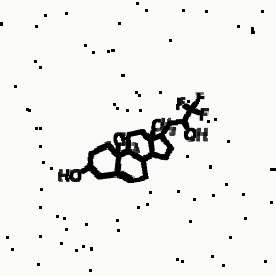 CC12CCC(O)CC1=CCC1C2CCC2(C)C(CC(O)C(F)(F)F)CCC12